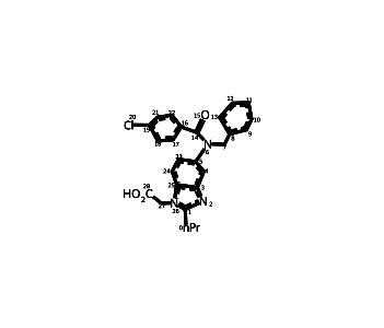 CCCc1nc2cc(N(Cc3ccccc3)C(=O)c3ccc(Cl)cc3)ccc2n1CC(=O)O